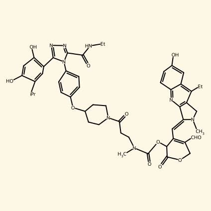 CCNC(=O)c1nnc(-c2cc(C(C)C)c(O)cc2O)n1-c1ccc(OC2CCN(C(=O)CCN(C)C(=O)OC3C(=O)OCC(C=O)=C3/C=C3/c4nc5ccc(O)cc5c(CC)c4CN3C)CC2)cc1